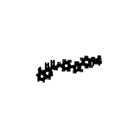 Cc1cccc(C)c1NC(=S)N/N=C/c1ccc(C2=NN(c3ccc(OC(F)(F)F)cc3)CC2)cc1